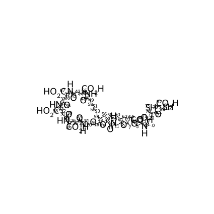 C[C@H](NC(=O)COCCOCCNC(=O)COCCOCCNC(=O)CC[C@H](NC(=O)CC[C@H](NC(=O)CC[C@H](NC(=O)CC[C@H](NC(=O)CCCCCCCCCCCCCCCCC(=O)O)C(=O)O)C(=O)O)C(=O)O)C(=O)O)C(=O)C[C@@H](CS)C(=O)C[C@@H](CS)C(=O)O